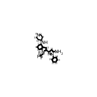 CN1CCC(Nc2cccc3c2cc(-c2cc(N)n(-c4ccccc4)n2)n3CC(F)(F)F)CC1